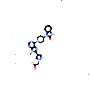 Cn1c(-c2cnn(CC(=O)O)c2)nc2c(N3CCC(n4c(=O)[nH]c5ccccc54)CC3)ncnc21